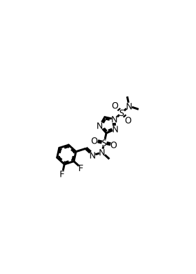 CN(/N=C/c1cccc(F)c1F)S(=O)(=O)c1ncn(S(=O)(=O)N(C)C)n1